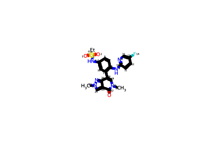 CCS(=O)(=O)Nc1ccc(Nc2ccc(F)cn2)c(-c2cn(C)c(=O)c3cn(C)nc23)c1